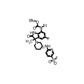 CCN(C(=O)OC(C)(C)C)c1cc(F)cc2c1NC(=O)C2(C)N1CCC[C@@H](Nc2ccc(S(=O)(=O)F)cn2)C1